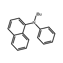 CCC(C)N(c1ccccc1)c1cccc2ccccc12